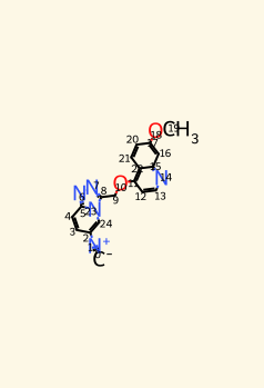 [C-]#[N+]c1ccc2nnc(COc3ccnc4cc(OC)ccc34)n2c1